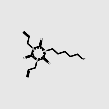 C=CCn1c(=O)n(CC=C)c(=O)n(CCCCCC(C)C)c1=O